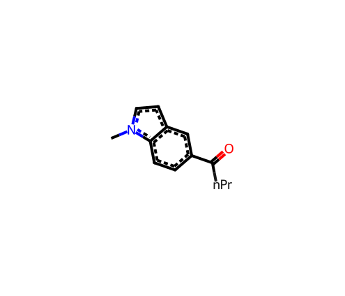 CCCC(=O)c1ccc2c(ccn2C)c1